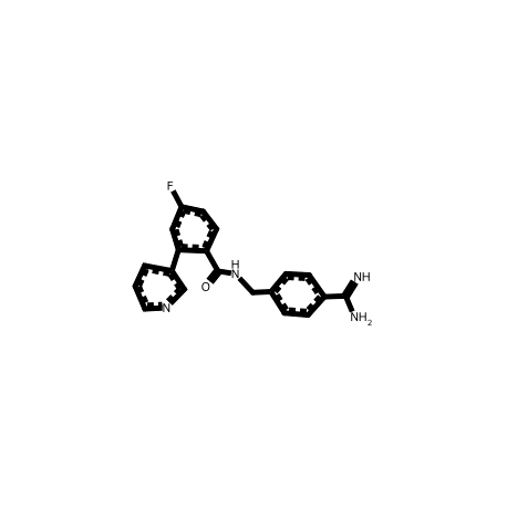 N=C(N)c1ccc(CNC(=O)c2ccc(F)cc2-c2cccnc2)cc1